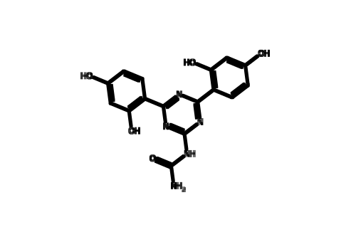 NC(=O)Nc1nc(-c2ccc(O)cc2O)nc(-c2ccc(O)cc2O)n1